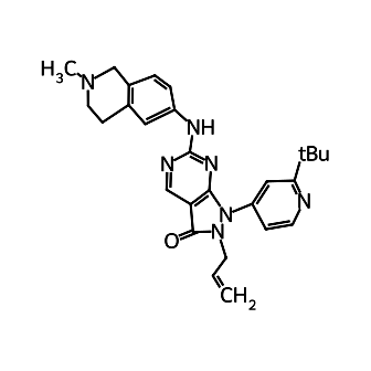 C=CCn1c(=O)c2cnc(Nc3ccc4c(c3)CCN(C)C4)nc2n1-c1ccnc(C(C)(C)C)c1